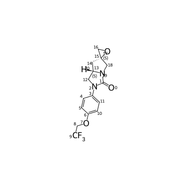 O=C1N(c2ccc(OCC(F)(F)F)cc2)C[C@@H]2C[C@@]3(CO3)CN12